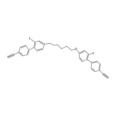 N#Cc1ccc(-c2ccc(CCCCCCOc3ccc(-c4ccc(C#N)cc4)c(F)c3)cc2F)cc1